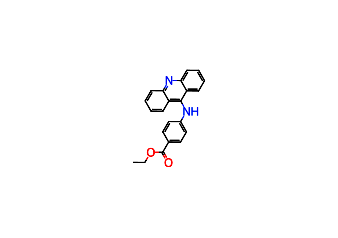 CCOC(=O)c1ccc(Nc2c3ccccc3nc3ccccc23)cc1